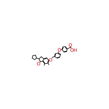 Cc1c(OCc2cccc(Oc3ccc(C(=O)O)cc3)c2)cc2c(c1C)C(=O)C(C1CCCC1)C2